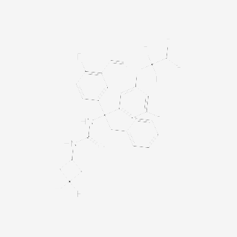 O=Cc1cc(C(Cc2ccccc2)(NC(=O)NC2CC(F)(F)C2)c2cc(F)cc(OC(F)(F)C(F)F)c2)ccc1F